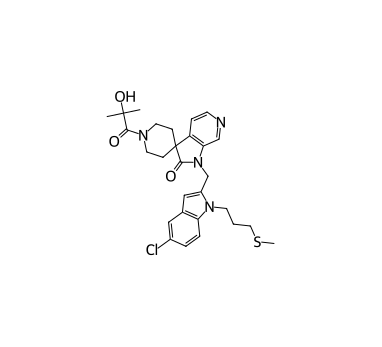 CSCCCn1c(CN2C(=O)C3(CCN(C(=O)C(C)(C)O)CC3)c3ccncc32)cc2cc(Cl)ccc21